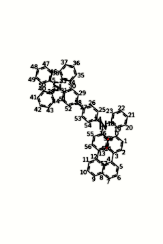 c1ccc(-c2cccc3cccc(-c4ccc(N(c5ccccc5)c5ccc(-c6ccc([Si](c7ccccc7)(c7ccccc7)c7ccccc7)cc6)cc5)cc4)c23)cc1